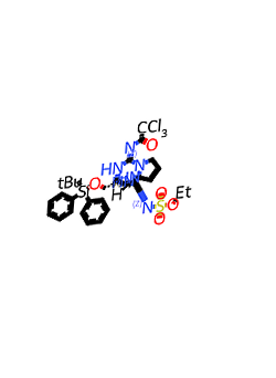 CCOS(=O)(=O)/N=C1/N[C@H]2[C@H](CO[Si](c3ccccc3)(c3ccccc3)C(C)(C)C)N/C(=N/C(=O)C(Cl)(Cl)Cl)N3CC=CC23N1